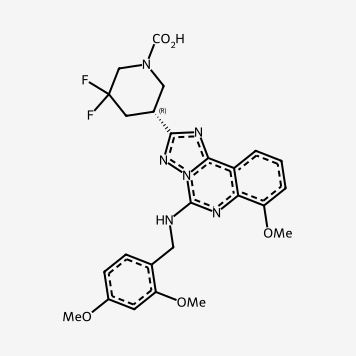 COc1ccc(CNc2nc3c(OC)cccc3c3nc([C@H]4CN(C(=O)O)CC(F)(F)C4)nn23)c(OC)c1